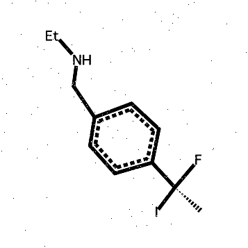 CCNCc1ccc([C@@](C)(F)I)cc1